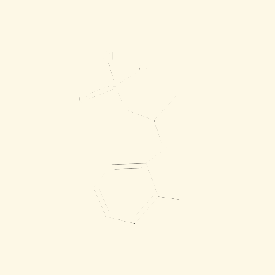 CCc1ccccc1OC(C)OP(=O)(O)O